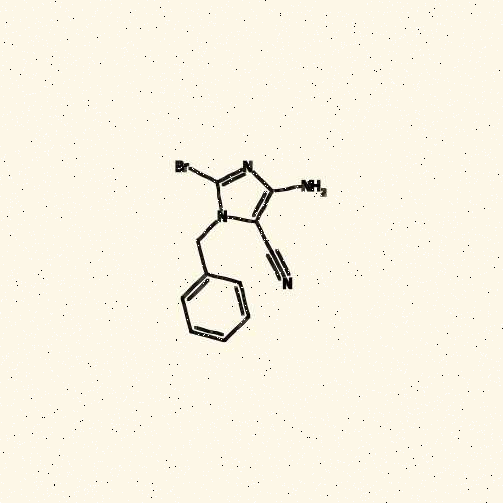 N#Cc1c(N)nc(Br)n1Cc1ccccc1